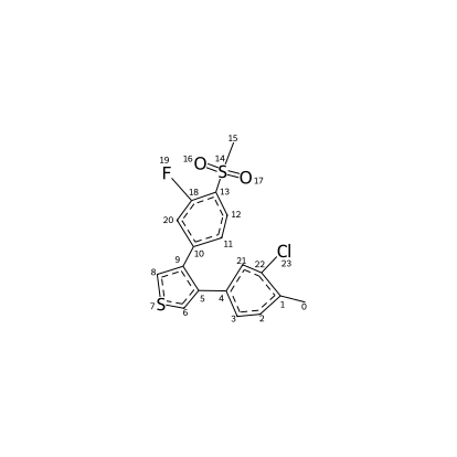 Cc1ccc(-c2cscc2-c2ccc(S(C)(=O)=O)c(F)c2)cc1Cl